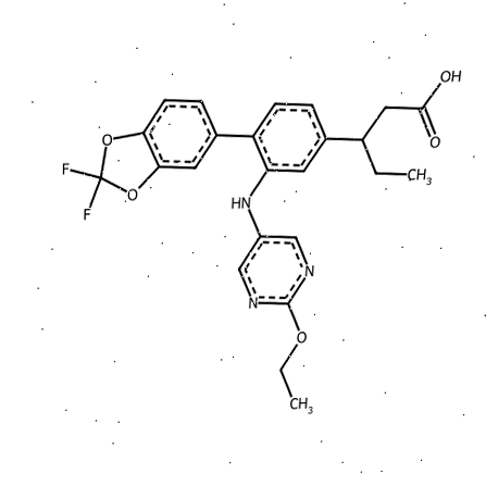 CCOc1ncc(Nc2cc(C(CC)CC(=O)O)ccc2-c2ccc3c(c2)OC(F)(F)O3)cn1